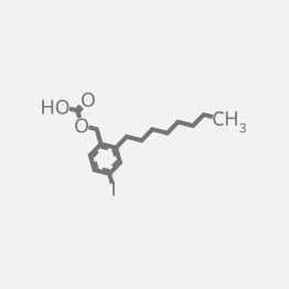 CCCCCCCCc1cc(I)ccc1COC(=O)O